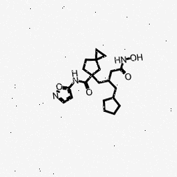 O=C(CC(CC1CCCC1)CC1(C(=O)Nc2ccno2)CCC2(CC2)C1)NO